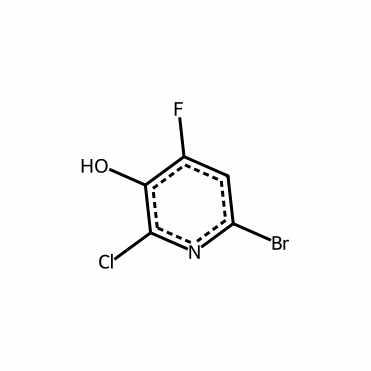 Oc1c(F)cc(Br)nc1Cl